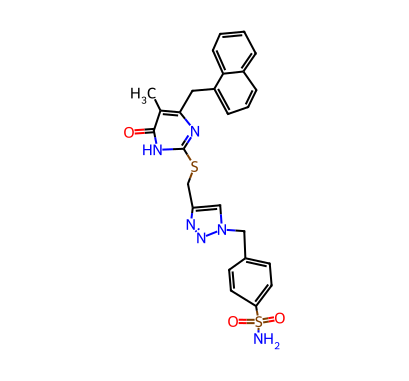 Cc1c(Cc2cccc3ccccc23)nc(SCc2cn(Cc3ccc(S(N)(=O)=O)cc3)nn2)[nH]c1=O